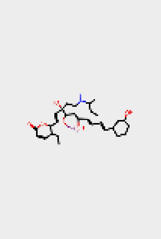 CCC(C)NCCC(O)(C=CC1OC(=O)C=CC1CC)C(CC(O)C=CC=CC1CCCC(O)C1)OP